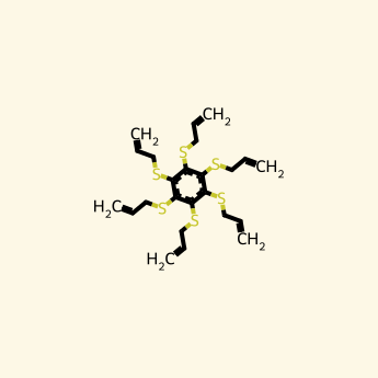 C=CCSc1c(SCC=C)c(SCC=C)c(SCC=C)c(SCC=C)c1SCC=C